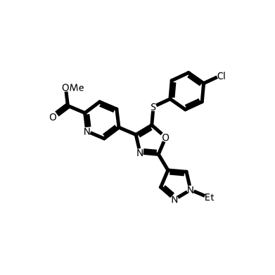 CCn1cc(-c2nc(-c3ccc(C(=O)OC)nc3)c(Sc3ccc(Cl)cc3)o2)cn1